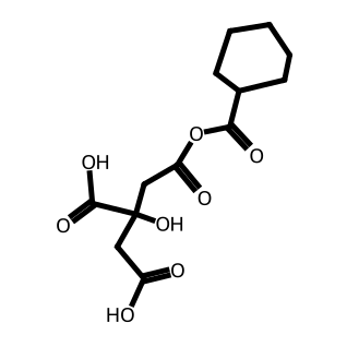 O=C(O)CC(O)(CC(=O)OC(=O)C1CCCCC1)C(=O)O